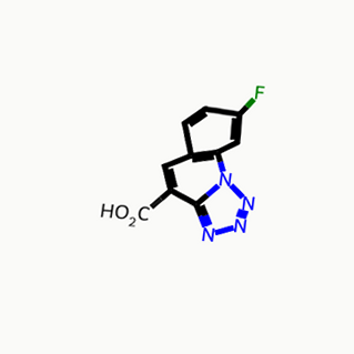 O=C(O)c1cc2ccc(F)cc2n2nnnc12